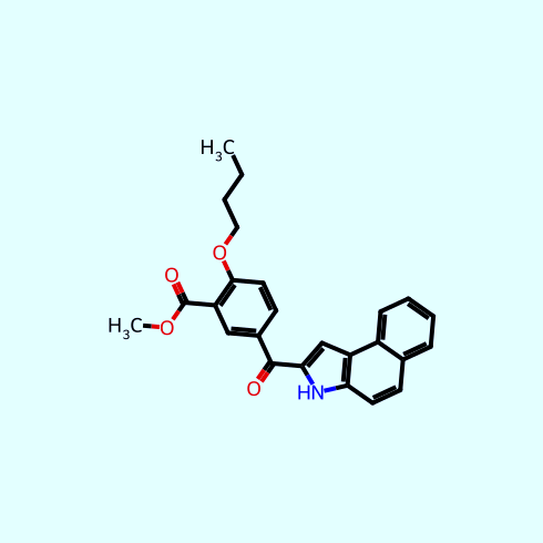 CCCCOc1ccc(C(=O)c2cc3c(ccc4ccccc43)[nH]2)cc1C(=O)OC